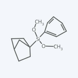 CO[Si](OC)(c1ccccc1)C12CCC(CC1)C2